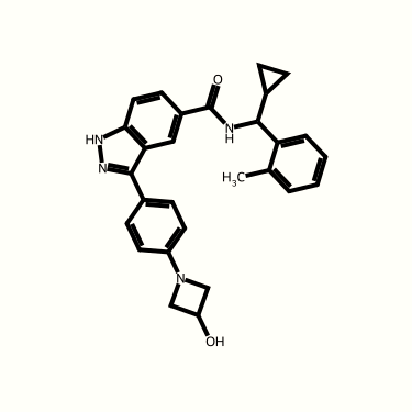 Cc1ccccc1C(NC(=O)c1ccc2[nH]nc(-c3ccc(N4CC(O)C4)cc3)c2c1)C1CC1